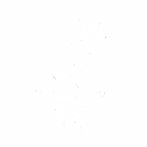 O=C(O)Cn1c(CCc2cccc(F)c2F)nc(=O)c2ccc(F)cc21